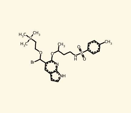 Cc1ccc(S(=O)(=O)NCCC(C)Oc2nc3[nH]ccc3cc2C(Br)OCC[Si](C)(C)C)cc1